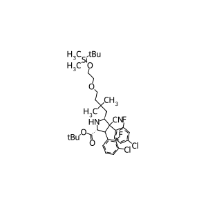 CC(C)(CCOCCO[Si](C)(C)C(C)(C)C)C[C@@H]1N[C@@H](C(=O)OC(C)(C)C)C(c2cccc(Cl)c2F)C1(C#N)c1ccc(Cl)cc1F